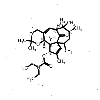 CCN(CC)C(=O)O[C@H]1C(C)=CC23C(=O)[C@@H](C=C4COC(C)(C)O[C@H]4[C@]12O)C(C)(C)[C@@H](C)CC3C